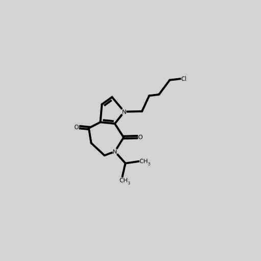 CC(C)N1CCC(=O)c2ccn(CCCCCl)c2C1=O